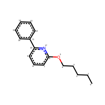 CCCCCOc1cccc(-c2ccccc2)n1